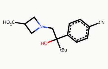 CC(C)(C)C(O)(CN1CC(C(=O)O)C1)c1ccc(C#N)cc1